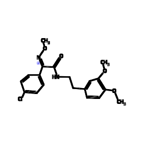 CO/N=C(\C(=O)NCCc1ccc(OC)c(OC)c1)c1ccc(Cl)cc1